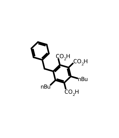 CCCCc1c(Cc2ccccc2)c(C(=O)O)c(C(=O)O)c(CCCC)c1C(=O)O